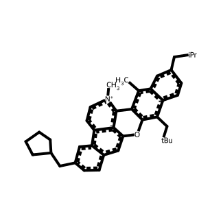 Cc1c2c(c(CC(C)(C)C)c3ccc(CC(C)C)cc13)Oc1cc3ccc(CC4CCCC4)cc3c3cc[n+](C)c-2c13